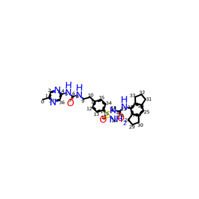 Cc1cnc(NC(=O)NCCc2ccc(S(N)(=O)=NC(=O)Nc3c4c(cc5c3CCC5)CCC4)cc2)cn1